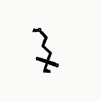 CCCCS(=O)(=O)CCCOC(C)=O